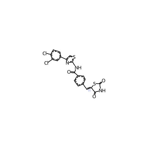 O=C1NC(=O)/C(=C/c2ccc(C(=O)Nc3nc(-c4ccc(Cl)c(Cl)c4)cs3)cc2)S1